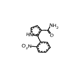 NC(=O)c1cc[nH]c1-c1ccccc1[N+](=O)[O-]